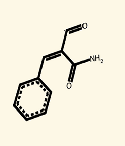 NC(=O)C([C]=O)=Cc1ccccc1